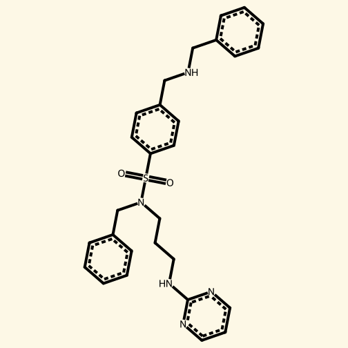 O=S(=O)(c1ccc(CNCc2ccccc2)cc1)N(CCCNc1ncccn1)Cc1ccccc1